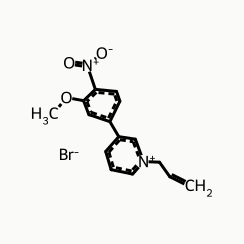 C=CC[n+]1cccc(-c2ccc([N+](=O)[O-])c(OC)c2)c1.[Br-]